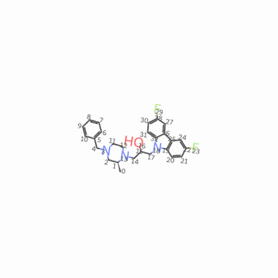 C[C@H]1CN(Cc2ccccc2)CCN1CC(O)Cn1c2ccc(F)cc2c2cc(F)ccc21